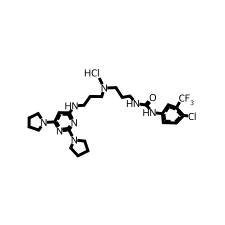 CN(CCCNC(=O)Nc1ccc(Cl)c(C(F)(F)F)c1)CCCNc1cc(N2CCCC2)nc(N2CCCC2)n1.Cl